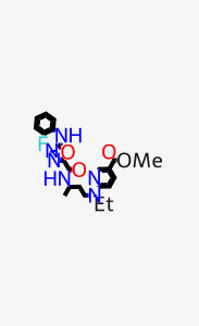 CCN(CCC(C)NC(=O)c1nnc(Nc2ccccc2F)o1)c1ccc(C(=O)OC)cn1